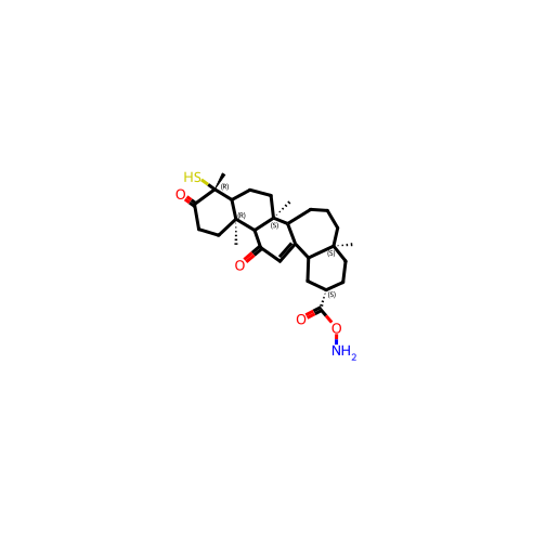 C[C@@]12CCCC3C(=CC(=O)C4[C@@]3(C)CCC3[C@]4(C)CCC(=O)[C@]3(C)S)C1C[C@@H](C(=O)ON)CC2